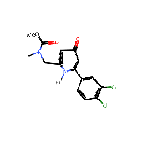 CCn1c(CN(C)C(=O)OC)cc(=O)cc1-c1ccc(Cl)c(Cl)c1